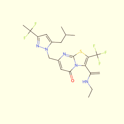 C=C(NCC)c1c(C(F)(F)F)sc2nc(Cn3nc(C(C)(F)F)cc3CC(C)C)cc(=O)n12